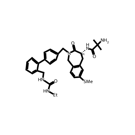 CCNC(=O)NCc1ccccc1-c1ccc(CN2Cc3ccc(SC)cc3C[C@@H](NC(=O)C(C)(C)N)C2=O)cc1